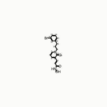 O=C(/C=C/c1cccn(CCCc2cccc(Br)c2)c1=O)NO